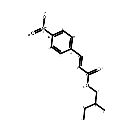 CCC(C)COC(=O)C=Cc1ccc([N+](=O)[O-])cc1